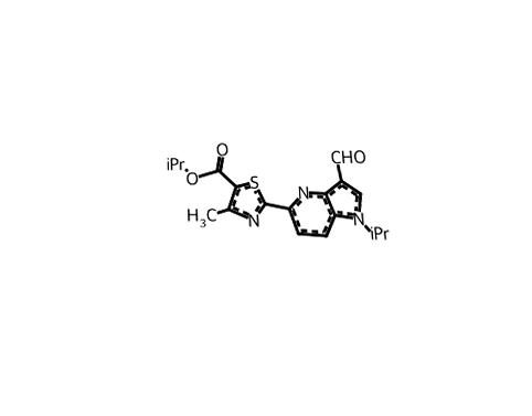 Cc1nc(-c2ccc3c(n2)c(C=O)cn3C(C)C)sc1C(=O)OC(C)C